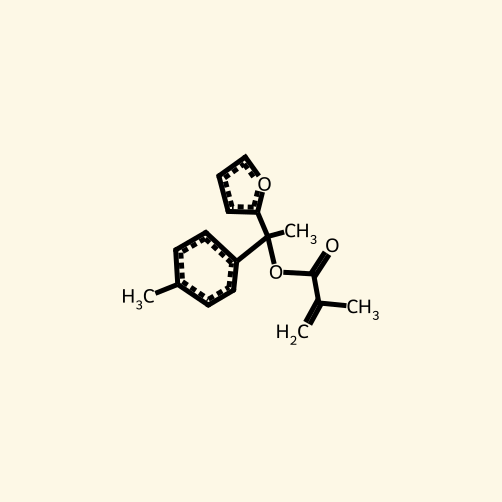 C=C(C)C(=O)OC(C)(c1ccc(C)cc1)c1ccco1